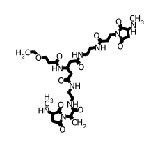 C=C(C(=O)NCCNC(=O)CC(CC(=O)NCCNC(=O)CCN1C(=O)CC(NC)C1=O)NC(=O)CCOCC)N1C(=O)CC(NC)C1=O